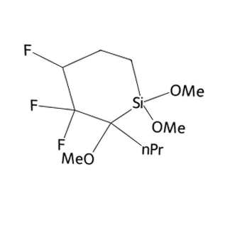 CCCC1(OC)C(F)(F)C(F)CC[Si]1(OC)OC